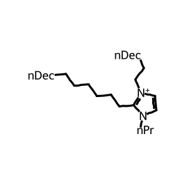 CCCCCCCCCCCCCCCCc1n(CCC)cc[n+]1CCCCCCCCCCCC